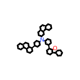 c1cc(-c2cccc3c2oc2ccccc23)cc(N(c2ccc(-c3cccc4c3ccc3ccccc34)cc2)c2ccc3ccc4ccccc4c3c2)c1